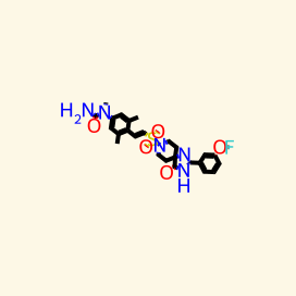 Cc1cc(N(C)C(N)=O)cc(C)c1/C=C/S(=O)(=O)N1CCC2(CC1)N=C(c1cccc(OF)c1)NC2=O